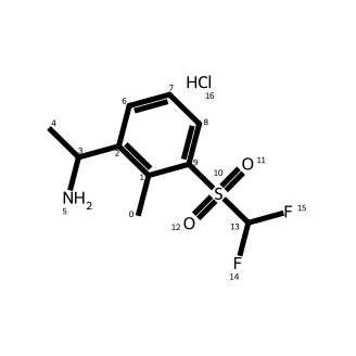 Cc1c(C(C)N)cccc1S(=O)(=O)C(F)F.Cl